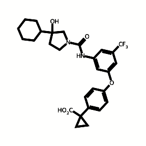 O=C(Nc1cc(Oc2ccc(C3(C(=O)O)CC3)cc2)cc(C(F)(F)F)c1)N1CCC(O)(C2CCCCC2)C1